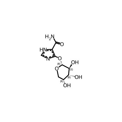 NC(=O)c1[nH]cnc1O[C@H]1OC[C@@H](O)[C@@H](O)[C@@H]1O